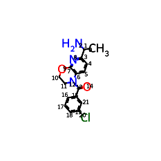 CC(N)c1ccc2c(n1)OCCN2C(=O)c1cccc(Cl)c1